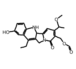 CCC1=C2Cn3c(cc(C(C)OC)c(COC=O)c3=O)C2Nc2ccc(O)cc21